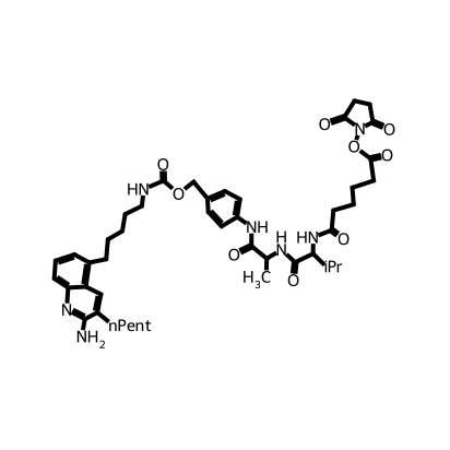 CCCCCc1cc2c(CCCCCNC(=O)OCc3ccc(NC(=O)C(C)NC(=O)C(NC(=O)CCCCC(=O)ON4C(=O)CCC4=O)C(C)C)cc3)cccc2nc1N